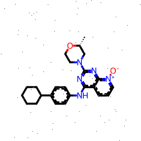 C[C@@H]1CN(c2nc(Nc3ccc(C4CCCCC4)cc3)c3ccc[n+]([O-])c3n2)CCO1